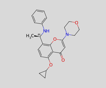 C[C@@H](Nc1ccccc1)c1ccc(OC2CC2)c2c(=O)cc(N3CCOCC3)oc12